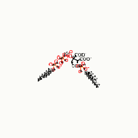 CC(=O)[O-].O=C([O-])CC(O)(CC(=O)[O-])C(=O)[O-].O=P([O-])([O-])[O-].O=P([O-])([O-])[O-].O=P([O-])([O-])[O-].[K+].[K+].[K+].[K+].[K+].[Na+].[Na+].[Na+].[Na+].[Na+].[Na+].[Na+].[Na+]